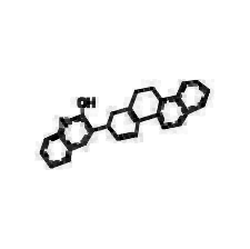 Oc1nc2ccccc2cc1C1C=CC2=C(CCc3c2ccc2ccccc32)C1